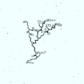 CCCCCCCCCCCCCCC(CC(=O)O)C(=O)NCCCN(CCCNC(=O)C(CCCCCCCCCCCCCC)CC(=O)O)CCCN(CCCNC(=O)C(CCCCCCCCCCCCCC)CC(=O)O)CCCNC(=O)C(CCCCCCCCCCCCCC)CC(=O)O